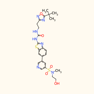 CN(CCO)S(=O)(=O)c1cncc(-c2ccc3nc(NC(=O)NCCc4noc(C(C)(C)C)n4)sc3c2)c1